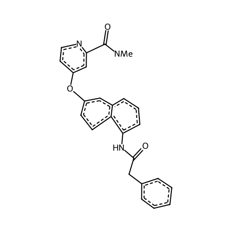 CNC(=O)c1cc(Oc2ccc3c(NC(=O)Cc4ccccc4)cccc3c2)ccn1